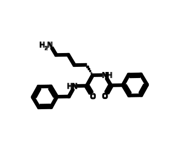 NCCCC[C@H](NC(=O)c1ccccc1)C(=O)NCc1ccccc1